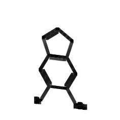 CCCCc1cc2c(cc1Br)C=CC2